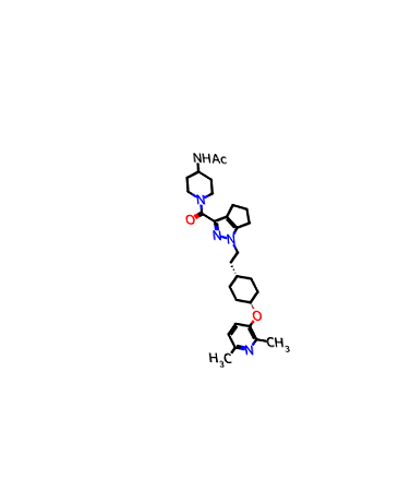 CC(=O)NC1CCN(C(=O)c2nn(CC[C@H]3CC[C@@H](Oc4ccc(C)nc4C)CC3)c3c2CCC3)CC1